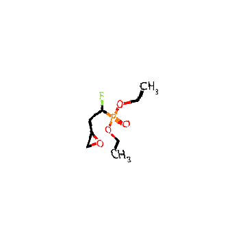 CCOP(=O)(OCC)C(F)CC1CO1